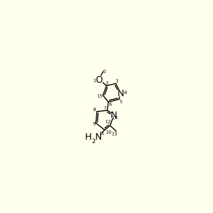 COc1cncc(-c2ccc(N)c(C)n2)c1